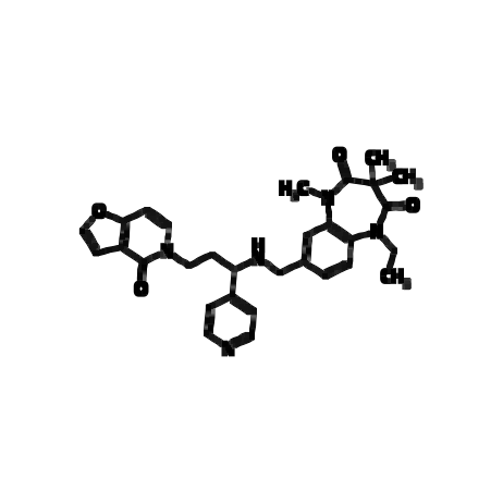 CCN1C(=O)C(C)(C)C(=O)N(C)c2cc(CNC(CCn3ccc4occc4c3=O)c3ccncc3)ccc21